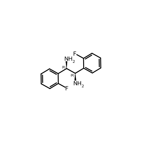 N[C@H](c1ccccc1F)[C@H](N)c1ccccc1F